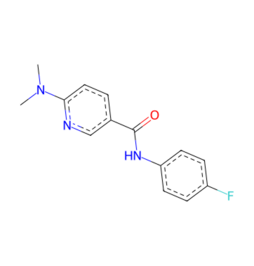 CN(C)c1ccc(C(=O)Nc2ccc(F)cc2)cn1